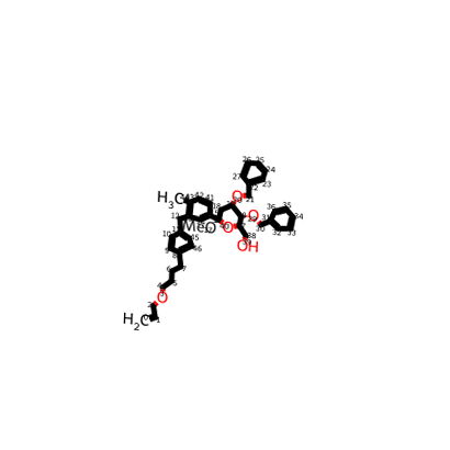 C=CCOCCCCc1ccc(Cc2cc([C@@]3(OC)CC(OCc4ccccc4)[C@H](OCc4ccccc4)C(CO)O3)ccc2C)cc1